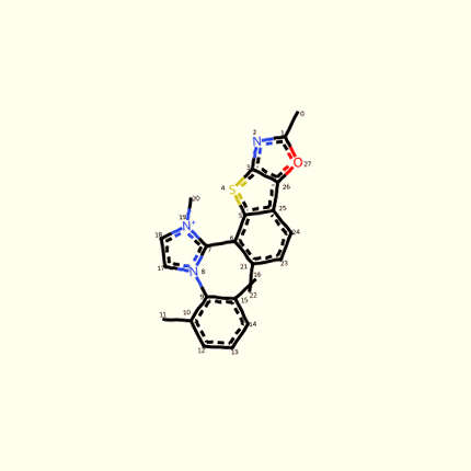 Cc1nc2sc3c(-c4n(-c5c(C)cccc5C)cc[n+]4C)c(C)ccc3c2o1